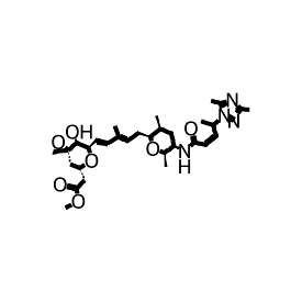 COC(=O)C[C@@H]1C[C@@]2(CO2)[C@H](O)[C@@H](/C=C/C(C)=C/C[C@@H]2O[C@H](C)[C@H](NC(=O)/C=C\C(C)n3nc(C)nc3C)C[C@@H]2C)O1